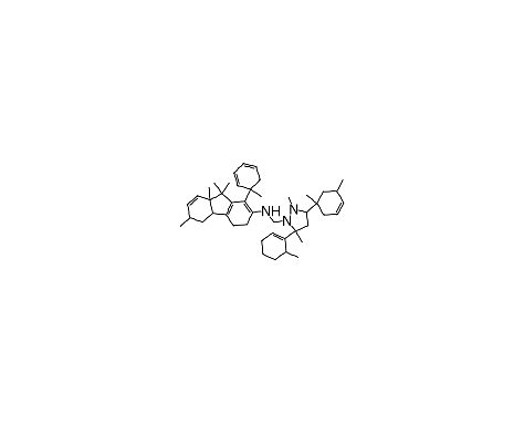 CC1C=CC2(C)C(C1)C1=C(C(C3(C)C=CC=CC3)=C(NCN3N(C)C(C4(C)CC=CC(C)C4)CC3(C)C3=CCCCC3C)CC1)C2(C)C